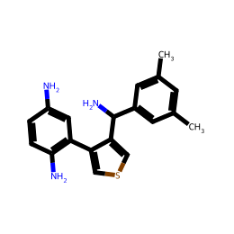 Cc1cc(C)cc(C(N)c2cscc2-c2cc(N)ccc2N)c1